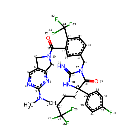 CN(C)c1ncc2c(n1)CN(C(=O)c1cc(CN3C(=N)N[C@](CCCC(F)(F)F)(c4ccc(F)cc4)C3=O)ccc1C(F)(F)F)C2